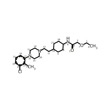 CCOCC(=O)NC1CCC(CCN2CCN(c3cccc(Cl)c3C)CC2)CC1